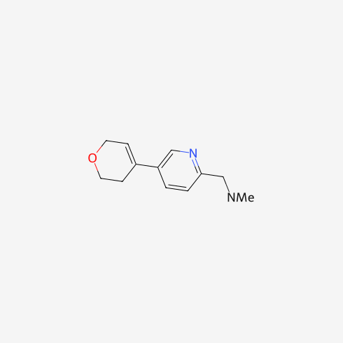 CNCc1ccc(C2=CCOCC2)cn1